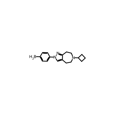 Bc1ccc(-n2cc3c(n2)CCN(C2CCC2)CC3)cc1